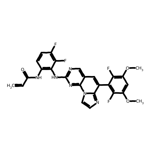 C=CC(=O)Nc1ccc(F)c(F)c1Nc1ncc2cc(-c3c(F)c(OC)cc(OC)c3F)c3nccn3c2n1